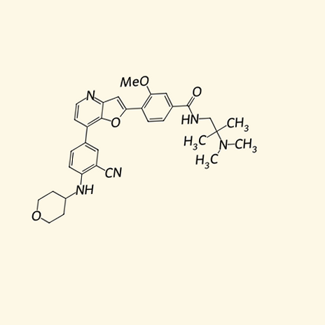 COc1cc(C(=O)NCC(C)(C)N(C)C)ccc1-c1cc2nccc(-c3ccc(NC4CCOCC4)c(C#N)c3)c2o1